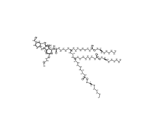 CCCCCCC#CCOC(=O)CCCCCCCCN(CCCCCCCCC(=O)OCC#CCCCCCC)CCCN(CCCCCCCCC(=O)OCC#CCCCCCC)CCCCCC(=O)Nc1nc(OCCOC)nc2c1[nH]c(=O)n2Cc1ccc(C=O)cc1